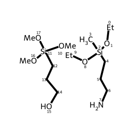 CCO[Si](C)(CCCN)OCC.CO[Si](CCCO)(OC)OC